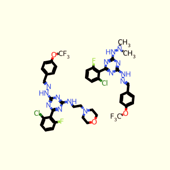 CN(C)Nc1nc(NN=Cc2ccc(OC(F)(F)F)cc2)nc(-c2c(F)cccc2Cl)n1.Fc1cccc(Cl)c1-c1nc(NCCN2CCOCC2)nc(NN=Cc2ccc(OC(F)(F)F)cc2)n1